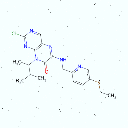 CCSc1ccc(CNc2nc3cnc(Cl)nc3n(C(C)C(C)C)c2=O)nc1